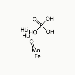 O=P(O)(O)O.[Fe].[LiH].[LiH].[O]=[Mn]